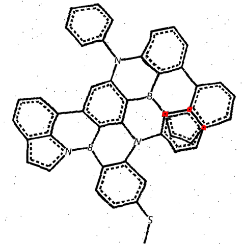 CSc1ccc2c(c1)N(c1ccccc1)c1c3c(cc4c1B1c5c(cccc5N4c4ccccc4)-c4cccc5ccn1c45)-c1cccc4ccn(c14)B23